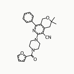 CC1(C)Cc2c(C#N)c(N3CCN(C(=O)c4ccco4)CC3)nc(-c3ccccc3)c2CO1